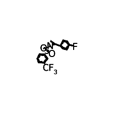 O=S(=O)(c1cccc(C(F)(F)F)c1)N1CC1c1ccc(F)cc1